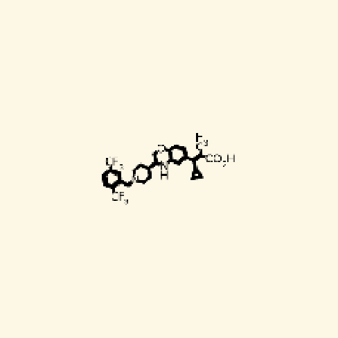 C/C(C(=O)O)=C(\c1ccc2c(c1)NC(C1CCN(Cc3cc(C(F)(F)F)ccc3C(F)(F)F)CC1)CO2)C1CC1